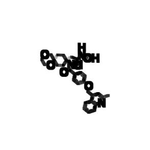 Cc1cc(COc2ccc(C(=O)N[C@]3(CC(=O)NO)CC[C@@]4(CC3)COCCO4)cc2)c2ccccc2n1